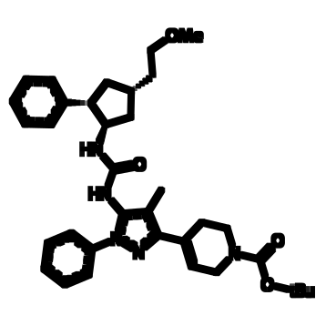 COCC[C@@H]1C[C@@H](NC(=O)Nc2c(C)c(C3=CCN(C(=O)OC(C)(C)C)CC3)nn2-c2ccccc2)[C@H](c2ccccc2)C1